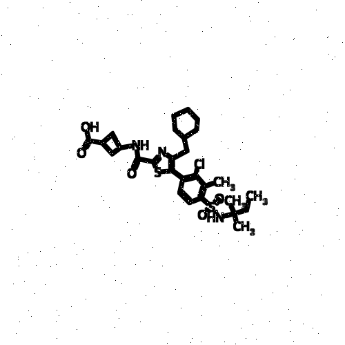 CCC(C)(C)NS(=O)(=O)c1ccc(-c2sc(C(=O)NC3CC(C(=O)O)C3)nc2CC2CCCCC2)c(Cl)c1C